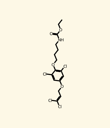 CCOC(=O)NCCCCOc1c(Cl)cc(OCC=C(Cl)Cl)cc1Cl